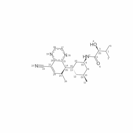 CC(C)[C@H](O)C(=O)N[C@H]1C[C@@H](C)C[C@H]([C@@H]2c3nccnc3C(C#N)=CC2C)C1